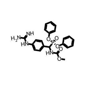 COC(=O)NC(c1ccc(NC(=N)N)cc1)P(=O)(Oc1ccccc1)Oc1ccccc1